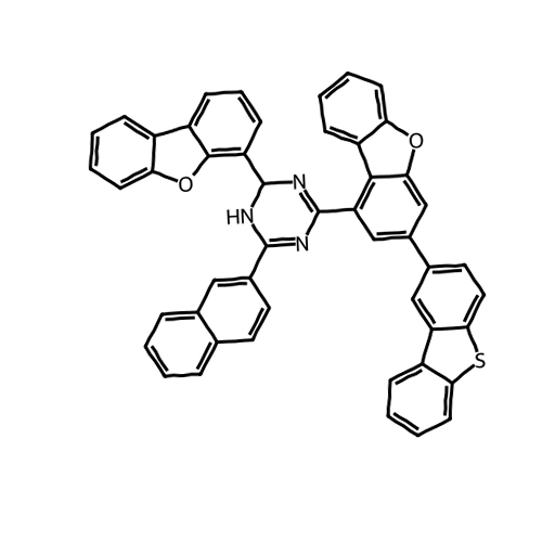 c1ccc2cc(C3=NC(c4cc(-c5ccc6sc7ccccc7c6c5)cc5oc6ccccc6c45)=NC(c4cccc5c4oc4ccccc45)N3)ccc2c1